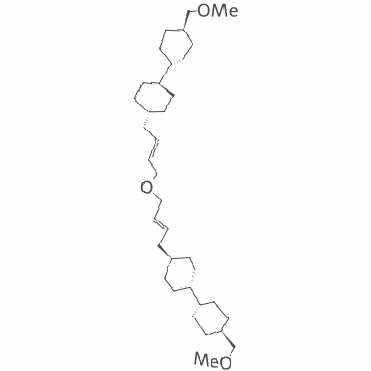 COC[C@H]1CC[C@H]([C@H]2CC[C@H](CC=CCOCC=CC[C@H]3CC[C@H]([C@H]4CC[C@H](COC)CC4)CC3)CC2)CC1